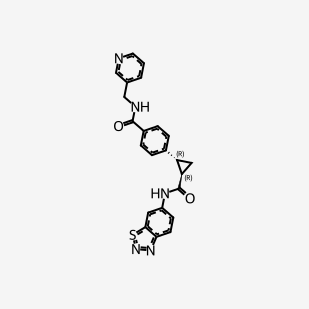 O=C(NCc1cccnc1)c1ccc([C@@H]2C[C@H]2C(=O)Nc2ccc3nnsc3c2)cc1